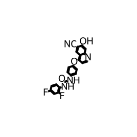 N#Cc1cc2c(Oc3ccc(NC(=O)Nc4ccc(F)cc4F)cc3)ccnc2cc1O